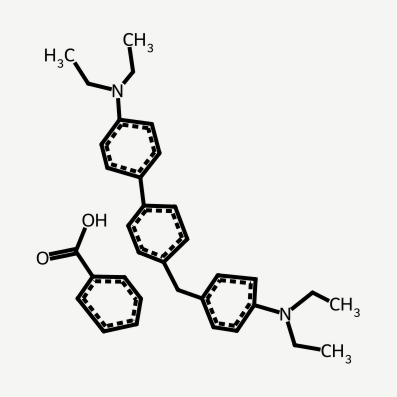 CCN(CC)c1ccc(Cc2ccc(-c3ccc(N(CC)CC)cc3)cc2)cc1.O=C(O)c1ccccc1